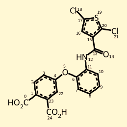 O=C(O)c1ccc(Oc2ccccc2NC(=O)c2cc(Cl)sc2Cl)cc1C(=O)O